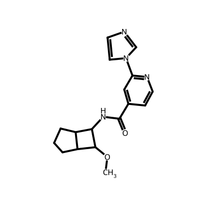 COC1C2CCCC2C1NC(=O)c1ccnc(-n2ccnc2)c1